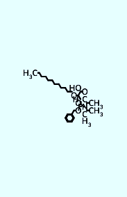 CCCCCCCCCCCCOC(COP(OCc1ccccc1)N(C(C)C)C(C)C)C(=O)O